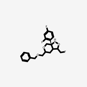 FCC1ON[C@@]2(c3ccc(F)cc3F)COC(COCc3ccccc3)CC12